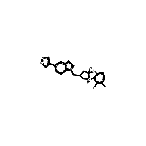 CC1(C)CC(Cn2ccc3cc(-c4cn[nH]c4)ccc32)C[SH]1(=O)c1cccc(F)c1F